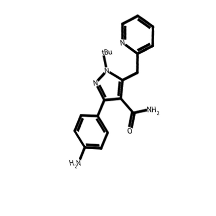 CC(C)(C)n1nc(-c2ccc(N)cc2)c(C(N)=O)c1Cc1ccccn1